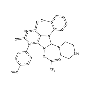 COc1ccc(-n2c3c(c(=O)[nH]c2=O)N(c2ccccc2Cl)C(N2CCNCC2)N3OC(=O)C(F)(F)F)cc1